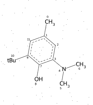 Cc1cc(N(C)C)c(O)c(C(C)(C)C)c1